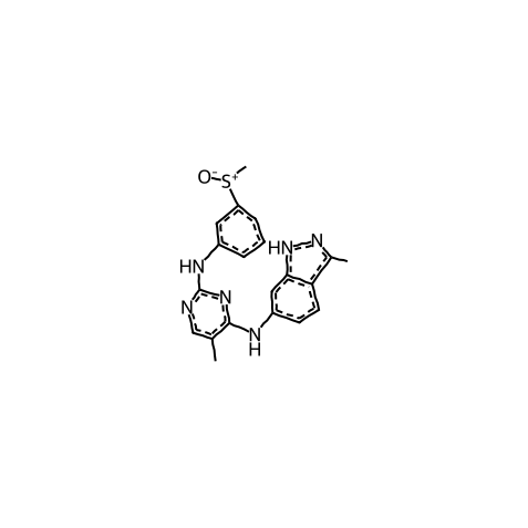 Cc1cnc(Nc2cccc([S+](C)[O-])c2)nc1Nc1ccc2c(C)n[nH]c2c1